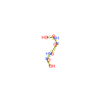 O=C(NCSCSC/N=C\[S+]([O-])CCSCSCCSC(=O)NCSCSC/N=C\[S+]([O-])CCSCCO)SCCSCCO